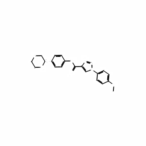 COc1ccc(-n2cc(C(=O)Nc3ccc([C@H]4CNCCO4)cc3)nn2)cc1